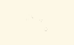 CCC(CC(=O)N1CC(SCc2ccccc2)C[C@H]1C(=O)O)SC(C)=O